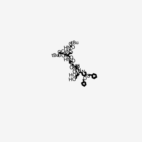 CC(C)(C)OC(=O)Nc1nc(C(=NOC(C)(C)C(=O)OC(C)(C)C)C(=O)N[C@H]2CN(C(=O)NS(=O)(=O)n3nc(-c4cc(OCc5ccccc5)c(OCc5ccccc5)cn4)n(C[C@H](O)CO)c3=O)C2=O)cs1